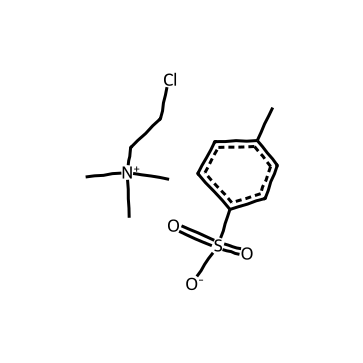 C[N+](C)(C)CCCl.Cc1ccc(S(=O)(=O)[O-])cc1